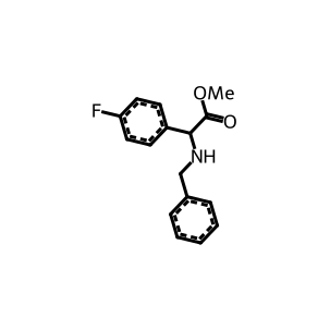 COC(=O)C(NCc1ccccc1)c1ccc(F)cc1